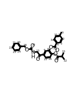 Cc1ccc(C(=O)Oc2cc(C(=O)CNC(=O)OCc3ccccc3)ccc2OC(=O)C(C)C)cc1